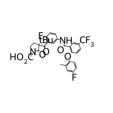 Cc1cc(F)ccc1Oc1ccc(C(F)(F)F)cc1C(=O)Nc1ccc(F)c(C(=O)C2(C(C)(C)C)CCN(C(=O)O)C2=O)c1